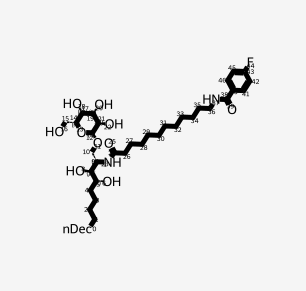 CCCCCCCCCCCCCC[C@@H](O)[C@@H](O)[C@H](CO[C@H]1O[C@H](CO)[C@H](O)[C@H](O)[C@H]1O)NC(=O)CCCCCCCCCCCNC(=O)c1ccc(F)cc1